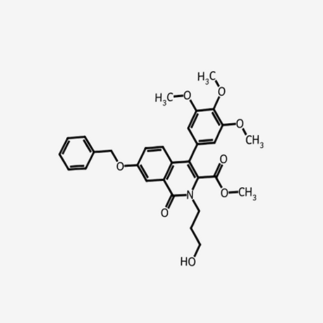 COC(=O)c1c(-c2cc(OC)c(OC)c(OC)c2)c2ccc(OCc3ccccc3)cc2c(=O)n1CCCO